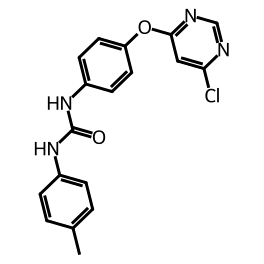 Cc1ccc(NC(=O)Nc2ccc(Oc3cc(Cl)ncn3)cc2)cc1